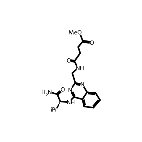 COC(=O)CCC(=O)NCc1nc(N[C@H](C(N)=O)C(C)C)c2ccccc2n1